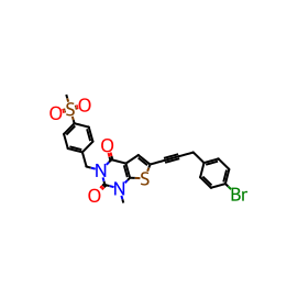 Cn1c(=O)n(Cc2ccc(S(C)(=O)=O)cc2)c(=O)c2cc(C#CCc3ccc(Br)cc3)sc21